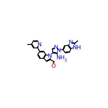 Cc1ccnc(-c2ccc3cc(C=O)n(-c4cnn(-c5ccc6[nH]c(C)nc6c5)c4N)c3c2)c1